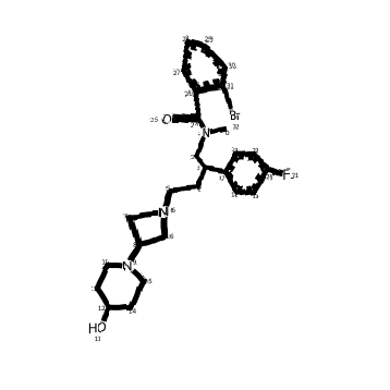 CN(CC(CCN1CC(N2CCC(O)CC2)C1)c1ccc(F)cc1)C(=O)c1ccccc1Br